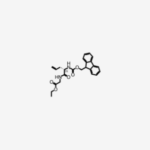 C=CC[C@H](NC(=O)OCC1c2ccccc2-c2ccccc21)C(=O)NCC(=O)OCC